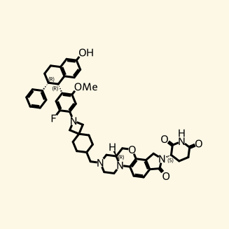 COc1cc(N2CC3(CCC(CN4CCN5c6ccc7c(c6OC[C@H]5C4)CN([C@H]4CCC(=O)NC4=O)C7=O)CC3)C2)c(F)cc1[C@H]1c2ccc(O)cc2CC[C@H]1c1ccccc1